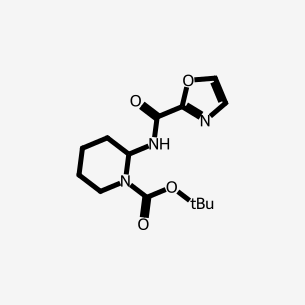 CC(C)(C)OC(=O)N1CCCCC1NC(=O)c1ncco1